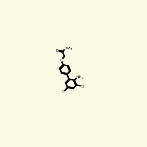 COC(=O)COc1ccc(-c2cc(Cl)cc(Cl)c2N)cc1